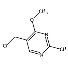 COc1nc(C)ncc1CCl